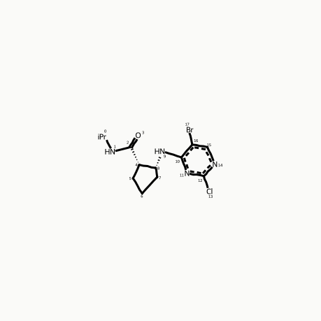 CC(C)NC(=O)[C@H]1CCC[C@H]1Nc1nc(Cl)ncc1Br